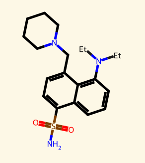 CCN(CC)c1cccc2c(S(N)(=O)=O)ccc(CN3CCCCC3)c12